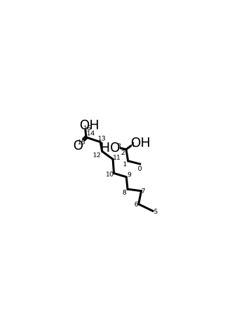 CCC(O)O.CCCCCCCCCC(=O)O